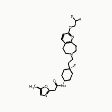 Cc1cnc(CC(=O)N[C@H]2CC[C@](F)(CCN3CCc4ccc(OCC(F)F)nc4CC3)CC2)o1